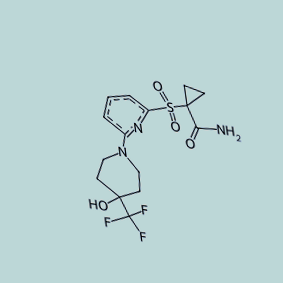 NC(=O)C1(S(=O)(=O)c2cccc(N3CCC(O)(C(F)(F)F)CC3)n2)CC1